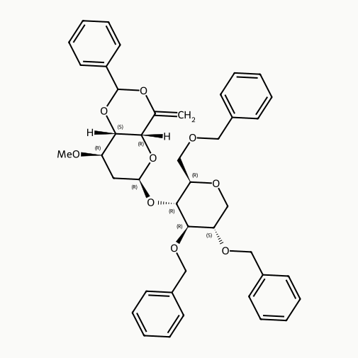 C=C1OC(c2ccccc2)O[C@H]2[C@H](OC)C[C@H](O[C@H]3[C@H](OCc4ccccc4)[C@@H](OCc4ccccc4)CO[C@@H]3COCc3ccccc3)O[C@@H]12